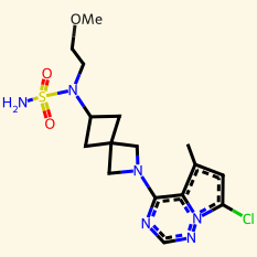 COCCN(C1CC2(C1)CN(c1ncnn3c(Cl)cc(C)c13)C2)S(N)(=O)=O